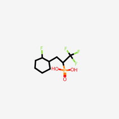 O=P(O)(O)C(CC1CCCCC1F)C(F)(F)F